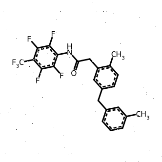 Cc1cccc(Cc2ccc(C)c(CC(=O)Nc3c(F)c(F)c(C(F)(F)F)c(F)c3F)c2)c1